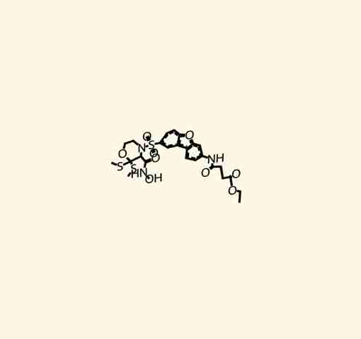 CCOC(=O)CCC(=O)Nc1ccc2c(c1)oc1ccc(S(=O)(=O)N3CCOC(SC)(SC)C3C(=O)NO)cc12